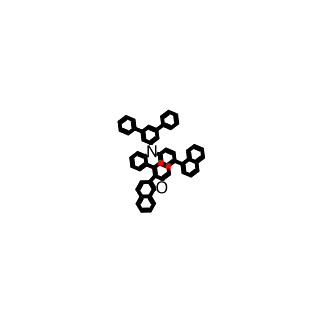 c1ccc(-c2cc(-c3ccccc3)cc(N(c3ccc(-c4cccc5ccccc45)cc3)c3ccccc3-c3cccc4oc5c6ccccc6ccc5c34)c2)cc1